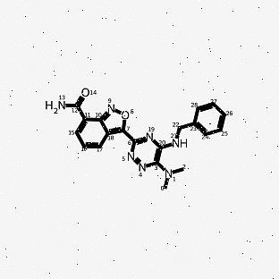 CN(C)c1nnc(-c2onc3c(C(N)=O)cccc23)nc1NCc1ccccc1